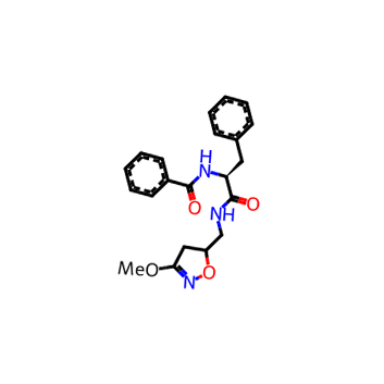 COC1=NOC(CNC(=O)[C@H](Cc2ccccc2)NC(=O)c2ccccc2)C1